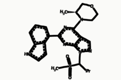 CC(C)C(n1ncc2c(N3CCOC[C@H]3C)nc(-c3cccc4[nH]ccc34)nc21)S(C)(=O)=O